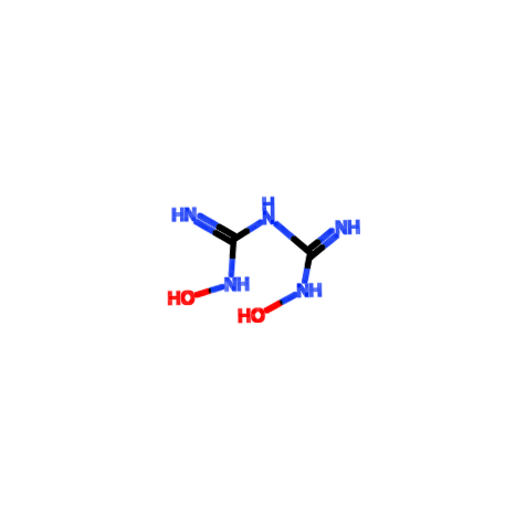 N=C(NO)NC(=N)NO